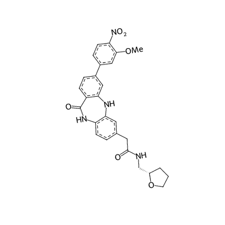 COc1cc(-c2ccc3c(c2)Nc2cc(CC(=O)NC[C@@H]4CCCO4)ccc2NC3=O)ccc1[N+](=O)[O-]